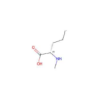 [CH2]CC[C@H](NC)C(=O)O